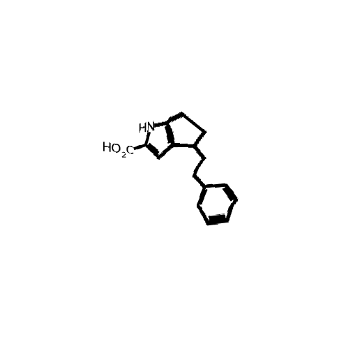 O=C(O)c1cc2c([nH]1)CCC2CCc1ccccc1